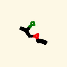 C=COCC(=C)Cl